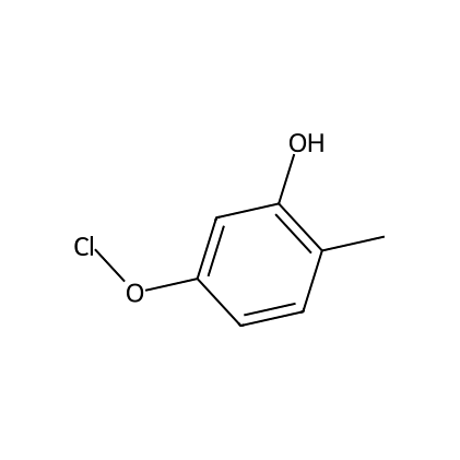 Cc1ccc(OCl)cc1O